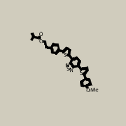 C=C(C)C(=O)OCCc1ccc(-c2ccc(-c3ccc(-c4ccc(-c5ccc(OC)cc5)s4)c4nsnc34)s2)cc1